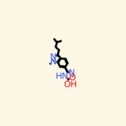 CC(C)CCc1nn(C)c2cc(C3=NOC(O)N3)ccc12